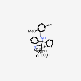 COc1ccc(C(C)C)cc1CNC(c1ccccc1)(c1ccccc1)[C@@H]1CN2CC[C@@H]1[C@@H](C(=O)O)C2